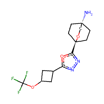 N[C@]12CC[C@@](c3nnc(C4CC(OC(F)(F)F)C4)o3)(CC1)OC2